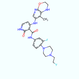 Cc1c(Nc2cc[nH]c(=O)c2C(=O)Nc2ccc(N3CCN(CCF)CC3)c(F)c2)cnc2c1NCCO2